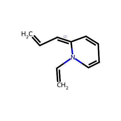 C=C/C=C1/C=CC=CN1C=C